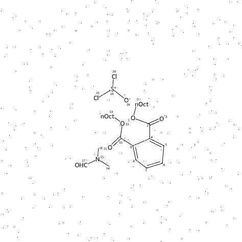 CCCCCCCCOC(=O)c1ccccc1C(=O)OCCCCCCCC.CN(C)C=O.[O-][S+](Cl)Cl